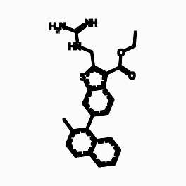 CCOC(=O)c1c(CNC(=N)N)sc2cc(-c3c(C)ccc4ccccc34)ccc12